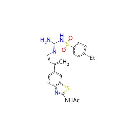 C=C(/C=C\N=C(/N)NS(=O)(=O)c1ccc(CC)cc1)c1ccc2nc(NC(C)=O)sc2c1